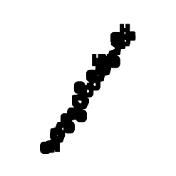 CCC(CO)CCC(=O)Nc1ccc(CC(=O)OCOC(=O)C2CCC(C(=O)OCOC(=O)Cc3ccc(N=C=O)cc3)CC2)cc1